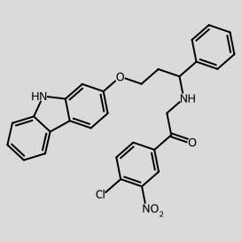 O=C(CNC(CCOc1ccc2c(c1)[nH]c1ccccc12)c1ccccc1)c1ccc(Cl)c([N+](=O)[O-])c1